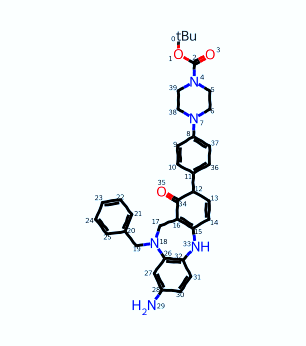 CC(C)(C)OC(=O)N1CCN(c2ccc(C3C=CC4=C(CN(Cc5ccccc5)c5cc(N)ccc5N4)C3=O)cc2)CC1